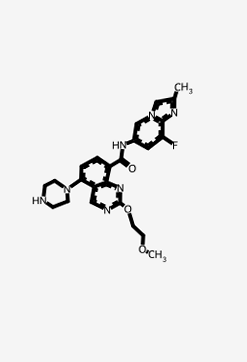 COCCOc1ncc2c(N3CCNCC3)ccc(C(=O)Nc3cc(F)c4nc(C)cn4c3)c2n1